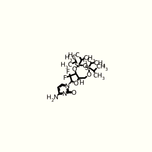 CC(C)[Si]1(C(C)C)OC[C@H]2O[C@@H](n3ccc(N)nc3=O)C(F)(F)C2O[Si](C(C)C)(C(C)C)O1